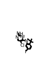 CC1(C)CN(c2nc(N)ncc2Cl)c2cc(I)ccc21